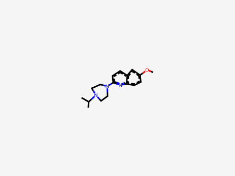 COc1ccc2nc(N3CCN(C(C)C)CC3)ccc2c1